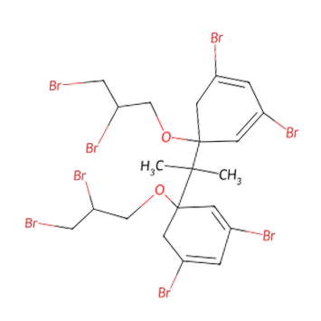 CC(C)(C1(OCC(Br)CBr)C=C(Br)C=C(Br)C1)C1(OCC(Br)CBr)C=C(Br)C=C(Br)C1